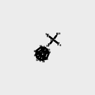 F[B-](F)(F)F.[CH]12[CH]3[CH]4[CH]5[CH]1[Fe]23451678[CH]2[CH]1[CH]6[CH]7[CH]28